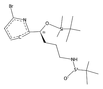 CC(C)(C)[S+]([O-])NCCC[C@H](O[Si](C)(C)C(C)(C)C)c1cccc(Br)n1